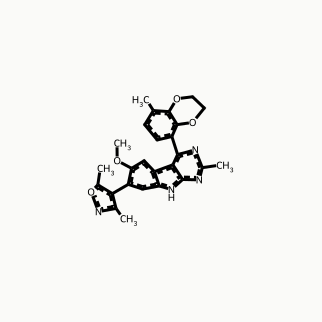 COc1cc2c(cc1-c1c(C)noc1C)[nH]c1nc(C)nc(-c3ccc(C)c4c3OCCO4)c12